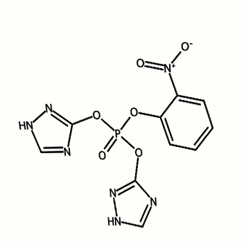 O=[N+]([O-])c1ccccc1OP(=O)(Oc1nc[nH]n1)Oc1nc[nH]n1